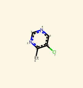 CCc1ncncc1Cl